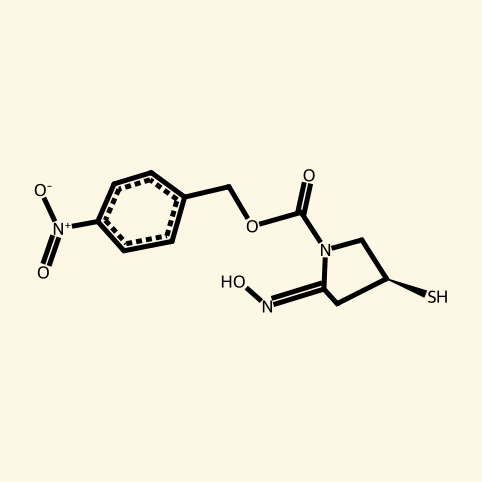 O=C(OCc1ccc([N+](=O)[O-])cc1)N1C[C@@H](S)C/C1=N/O